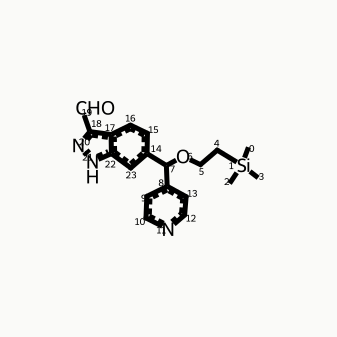 C[Si](C)(C)CCOC(c1ccncc1)c1ccc2c(C=O)n[nH]c2c1